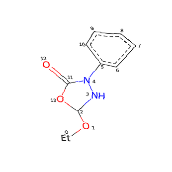 CCOC1NN(c2ccccc2)C(=O)O1